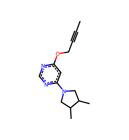 CC#CCOc1cc(N2CC(C)C(C)C2)ncn1